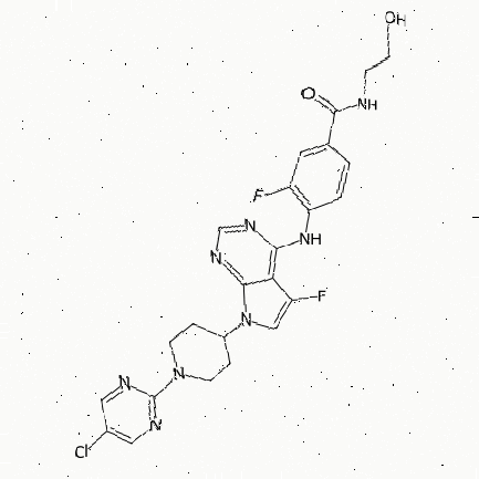 O=C(NCCO)c1ccc(Nc2ncnc3c2c(F)cn3C2CCN(c3ncc(Cl)cn3)CC2)c(F)c1